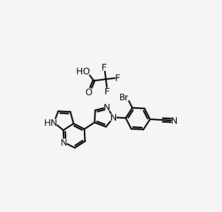 N#Cc1ccc(-n2cc(-c3ccnc4[nH]ccc34)cn2)c(Br)c1.O=C(O)C(F)(F)F